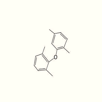 Cc1ccc(C)c(Oc2c(C)cccc2C)c1